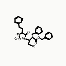 CC(C)CC(NC(=O)C(CCc1ccccc1)NC=O)[C@@H](Cc1ccccc1)C(=O)OCc1ccccc1